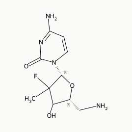 CC1(F)C(O)[C@@H](CN)O[C@H]1n1ccc(N)nc1=O